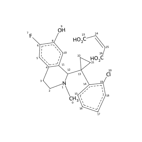 CN1CCc2cc(F)c(O)cc2C1C1(c2ccccc2Cl)CC1.O=C(O)/C=C\C(=O)O